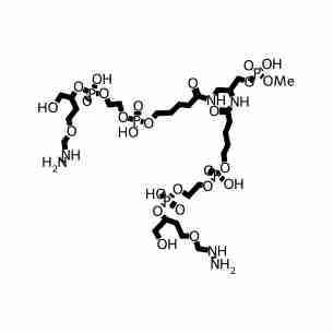 COP(=O)(O)OCC(CNC(=O)CCCCOP(=O)(O)OCCOP(=O)(O)OC(CO)CCOCNN)NC(=O)CCCCOP(=O)(O)OCCOP(=O)(O)OC(CO)CCOCNN